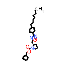 CCCCCCCCc1ccc(-c2noc(C[C@@H]3CCCN3C(=O)OCc3ccccc3)n2)cc1